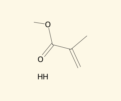 C=C(C)C(=O)OC.[HH]